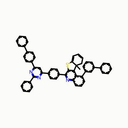 CC12CC=CC=C1Sc1c(-c3ccc(-c4cc(-c5ccc(-c6ccccc6)cc5)nc(-c5ccccc5)n4)cc3)nc3cccc(-c4cccc(-c5ccccc5)c4)c3c12